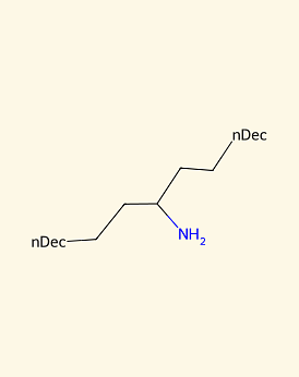 CCCCCCCCCCCCC(N)CCCCCCCCCCCC